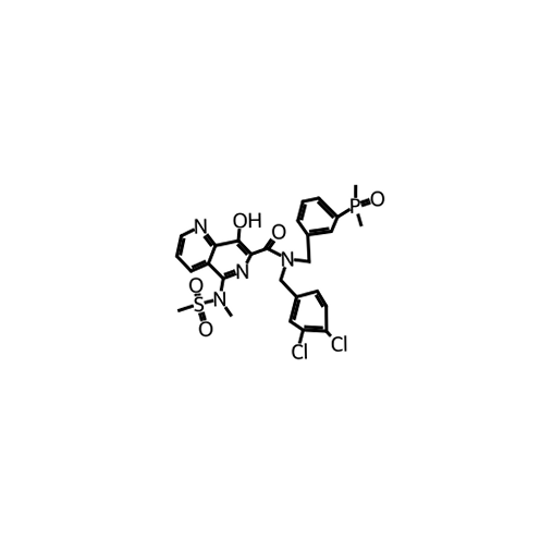 CN(c1nc(C(=O)N(Cc2cccc(P(C)(C)=O)c2)Cc2ccc(Cl)c(Cl)c2)c(O)c2ncccc12)S(C)(=O)=O